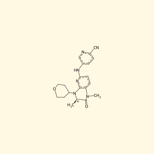 C[C@@H]1C(=O)N(C)c2ccc(Nc3ccc(C#N)nc3)nc2N1C1CCOCC1